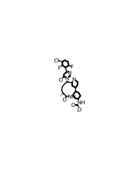 COC(=O)Nc1ccc2c(c1)NC(=O)[C@H](C)CCC[C@H](n1cnc(-c3c(F)ccc(Cl)c3F)cc1=O)c1cc-2ccn1